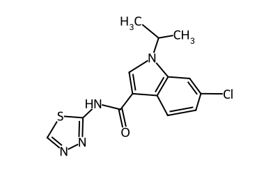 CC(C)n1cc(C(=O)Nc2nncs2)c2ccc(Cl)cc21